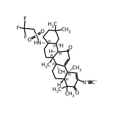 [C-]#[N+]C1=C[C@]2(C)C3=CC(=O)[C@@H]4[C@@H]5CC(C)(C)CC[C@]5(NS(=O)(=O)CC(F)(F)F)CC[C@@]4(C)[C@]3(C)CC[C@H]2C(C)(C)C1=O